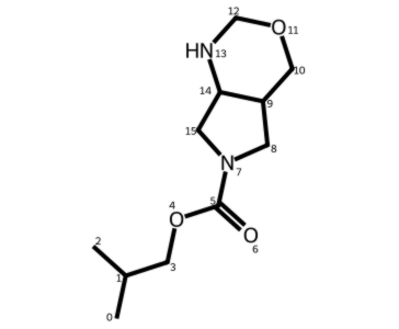 CC(C)COC(=O)N1CC2COCNC2C1